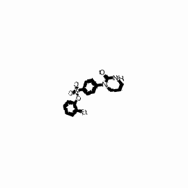 CCc1ccccc1OS(=O)(=O)c1ccc(N2CCCNC2=O)cc1